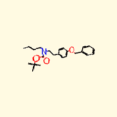 CCCCN(CCc1ccc(OCc2ccccc2)cc1)C(=O)OC(C)(C)C